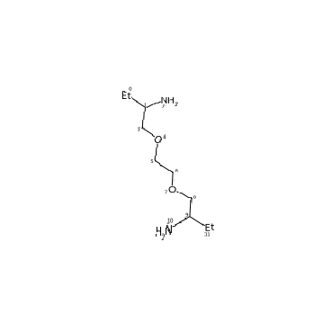 CCC(N)COCCOCC(N)CC